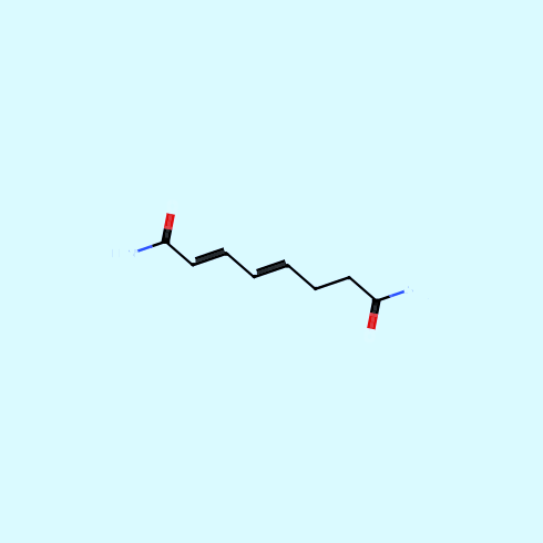 NC(=O)C=CC=CCCC(N)=O